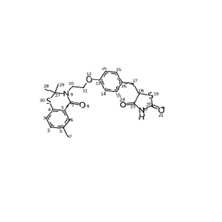 Cc1ccc2c(c1)C(=O)N(CCOc1ccc(CC3SC(=O)NC3=O)cc1)C(C)(C)S2